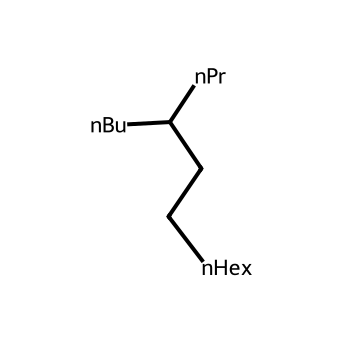 [CH2]CCCCCCCC(CCC)CCCC